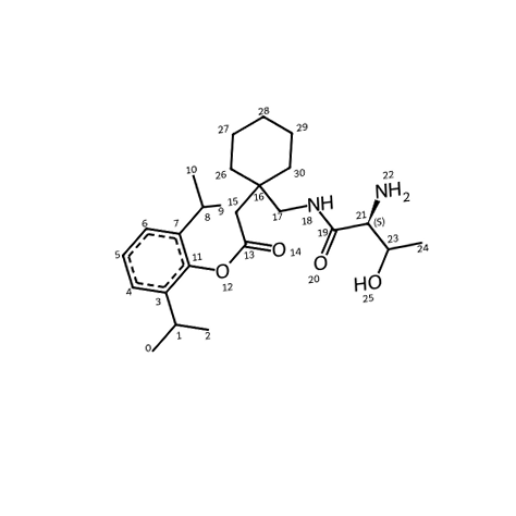 CC(C)c1cccc(C(C)C)c1OC(=O)CC1(CNC(=O)[C@@H](N)C(C)O)CCCCC1